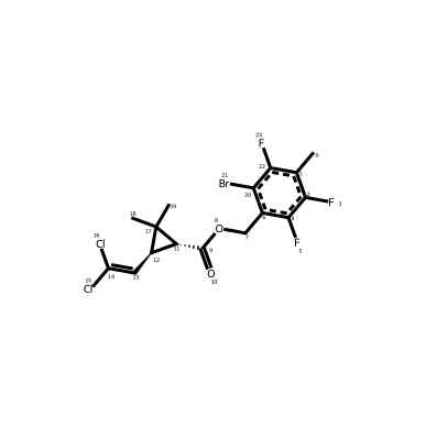 Cc1c(F)c(F)c(COC(=O)[C@@H]2[C@@H](C=C(Cl)Cl)C2(C)C)c(Br)c1F